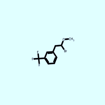 COC(Br)Cc1cccc(C(F)(F)F)c1